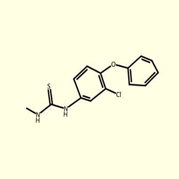 CNC(=S)Nc1ccc(Oc2ccccc2)c(Cl)c1